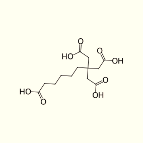 O=C(O)CCCCCC(CC(=O)O)(CC(=O)O)CC(=O)O